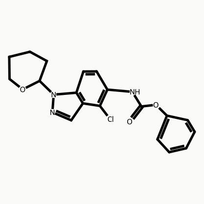 O=C(Nc1ccc2c(cnn2C2CCCCO2)c1Cl)Oc1ccccc1